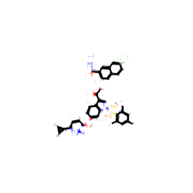 Cc1cc(C)c(S(=O)(=O)n2cc(C(=O)COc3cc4ccc(Cl)cc4cc3C(N)=O)c3ccc(Oc4ccc(C5CC5)nn4)cc32)c(C)c1